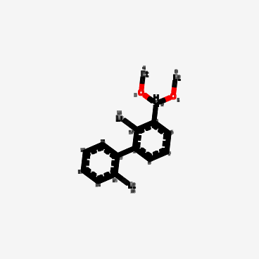 CCO[SiH](OCC)c1cccc(-c2ccccc2CC)c1CC